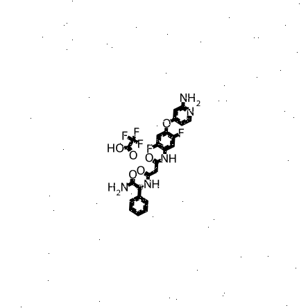 NC(=O)[C@H](NC(=O)CC(=O)Nc1cc(F)c(Oc2ccnc(N)c2)cc1F)c1ccccc1.O=C(O)C(F)(F)F